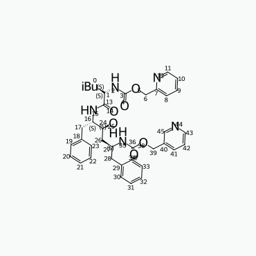 CC[C@H](C)[C@H](NC(=O)OCc1ccccn1)C(=O)N[C@@H](Cc1ccccc1)[C@@H](O)C[C@H](Cc1ccccc1)NC(=O)OCc1cccnc1